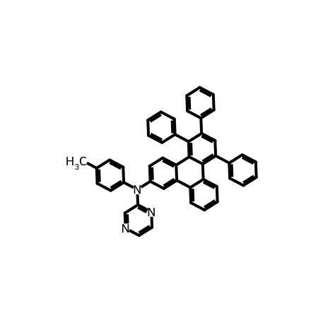 Cc1ccc(N(c2ccc3c(c2)c2ccccc2c2c(-c4ccccc4)cc(-c4ccccc4)c(-c4ccccc4)c32)c2cnccn2)cc1